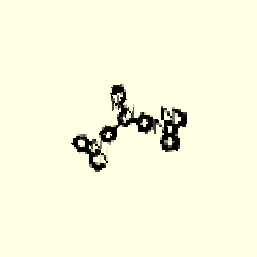 c1ccc(-c2cc(-c3ccc(-n4c5ccccc5c5cccnc54)cc3)cc(-c3ccc(-n4c5ccccc5c5cccnc54)cc3)n2)nc1